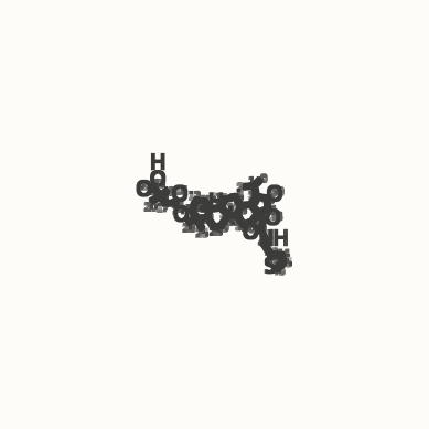 CC(C)C1=C2C3CC[C@@H]4C5(C)CC[C@H](OC(=O)CC(C)(C)C(=O)O)C(C)(C)C5CC[C@@]4(C)[C@]3(C)CCC2(C(=O)C(=O)NCc2cccs2)CC1=O